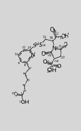 O=C(O)CCCCCc1cccc(SSCC(C(=O)O)N2C(=O)CC(S(=O)(=O)O)C2=O)n1